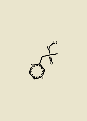 CCOP(C)(=O)Cc1cn[c]cn1